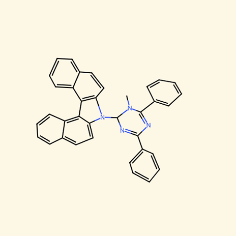 CN1C(c2ccccc2)=NC(c2ccccc2)=NC1n1c2ccc3ccccc3c2c2c3ccccc3ccc21